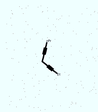 [CH2]CC#CCC#CCC[CH2]